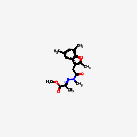 COC(=O)/C(C)=N/N(C)C(=O)Cc1c(C)oc2c(C)cc(C)cc12